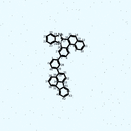 c1cc(-c2ccc3c4c5ccccc5ccc4c4nc5ccccc5n4c3c2)cc(-c2ccc3c4c(cccc24)-c2ccccc2-3)c1